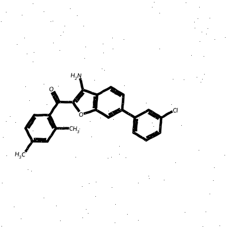 Cc1ccc(C(=O)c2oc3cc(-c4cccc(Cl)c4)ccc3c2N)c(C)c1